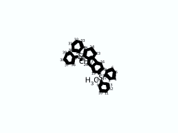 C[Si](c1ccccc1)(c1ccccc1)c1ccc2c(c1)Cc1c-2cccc1[Si](C)(c1ccccc1)c1ccccc1